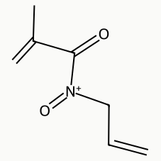 C=CC[N+](=O)C(=O)C(=C)C